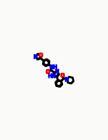 O=C(Nc1ccc(-c2cnco2)cc1)c1ncc(-c2ccccc2C(=O)N2CCCCC2)[nH]1